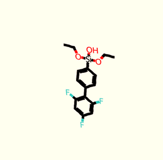 CCO[Si](O)(OCC)c1ccc(-c2c(F)cc(F)cc2F)cc1